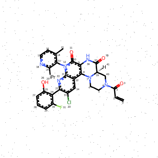 C=CC(=O)N1CCN2c3c(c(=O)n(-c4c(C)ccnc4C(C)C)c4nc(-c5c(O)cccc5F)c(Cl)cc34)NC(=O)[C@H]2C1